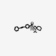 CC(C)NC1(CNC(=O)c2ccc(C#Cc3ccccc3)cc2)CCCCC1